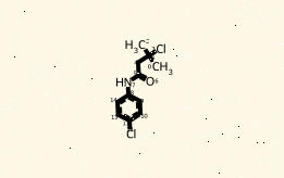 CC(C)(Cl)CC(=O)Nc1ccc(Cl)cc1